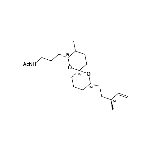 C=C[C@@H](C)CC[C@@H]1CCC[C@]2(CCC(C)[C@@H](CCCNC(C)=O)O2)O1